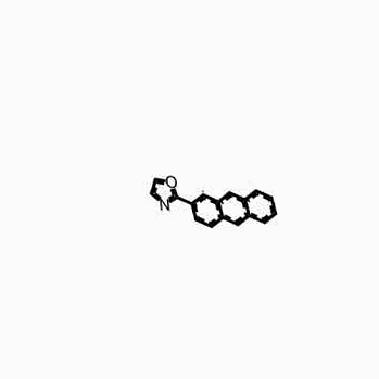 [c]1c(-c2ncco2)ccc2cc3ccccc3cc12